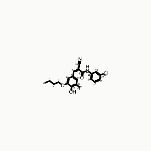 CCCCOc1cc(C=C(C#N)C(=O)Nc2cccc(Cl)c2)cc(F)c1O